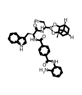 CC(C)C[C@H](NC(=O)[C@H](Cc1c[nH]c2ccccc12)NC(=O)c1ccc(C(=O)Nc2ccccc2N)cc1)B1OC2[C@@H]3C[C@H](C[C@]2(C)O1)C3(C)C